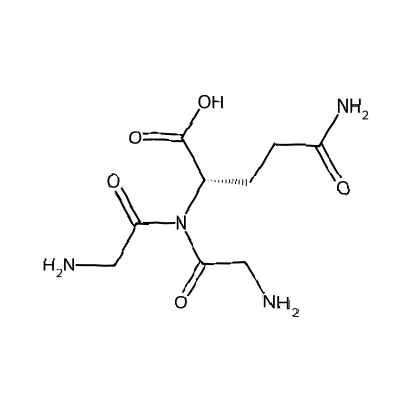 NCC(=O)N(C(=O)CN)[C@@H](CCC(N)=O)C(=O)O